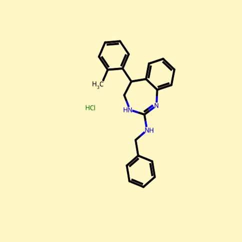 Cc1ccccc1C1CNC(NCc2ccccc2)=Nc2ccccc21.Cl